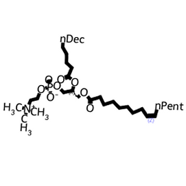 CCCCC/C=C\CCCCCCCC(=O)OC[C@H](COP(=O)([O-])OCC[N+](C)(C)C)OC(=O)CCCCCCCCCCCCCC